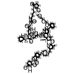 CC[C@@]12C[C@@H](Oc3ncc(CN4CCN(c5ccc6c(c5)C(=O)N([C@H]5CCC(=O)NC5=O)C6)CC4)cc3C)CN1c1cc(-c3ccccc3OCOCCOC)nnc1N(CNC(=O)CNC(=O)[C@H](Cc1ccccc1)NC(=O)CNC(=O)CNC(=O)CCCCCN1C(=O)C=CC1=O)C2